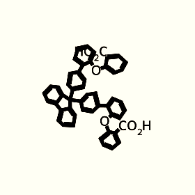 O=C(O)c1ccccc1Oc1ccccc1-c1ccc(C2(c3ccc(-c4ccccc4Oc4ccccc4C(=O)O)cc3)c3ccccc3-c3ccccc32)cc1